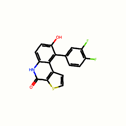 O=c1[nH]c2ccc(O)c(-c3ccc(F)c(F)c3)c2c2ccsc12